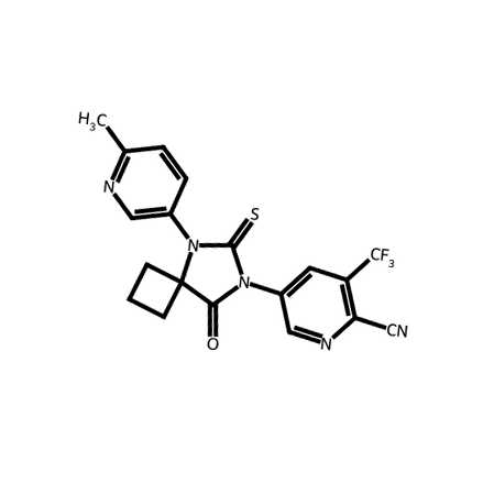 Cc1ccc(N2C(=S)N(c3cnc(C#N)c(C(F)(F)F)c3)C(=O)C23CCC3)cn1